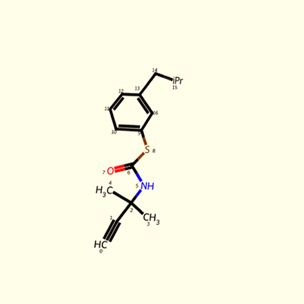 C#CC(C)(C)NC(=O)Sc1cccc(CC(C)C)c1